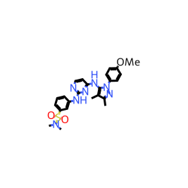 COc1ccc(-n2nc(C)c(C)c2Nc2ccnc(Nc3cccc(S(=O)(=O)N(C)C)c3)n2)cc1